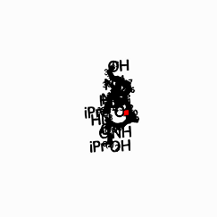 CC(C)[C@H](O)C(=O)N[C@H]1Cc2ccc3c(c2)C2(c4ccccc4N[C@H]2O3)c2oc(nc2-c2nc(CO)co2)[C@H](C(C)C)NC1=O